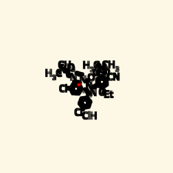 CCOc1cc(C#N)c(S(=O)(=O)N(C)C)cc1C1=N[C@@H](c2ccc(Cl)cc2)[C@@H](c2ccc(Cl)cc2)N1C(=O)N1CCN(CC(=O)N(C)C)CC1.Cl